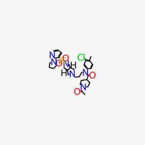 CC(=O)N1CCC(C(=O)N(CCCN2C[C@@H]3CN(S(=O)(=O)c4cccnc4N4CCCC4)C[C@@H]3C2)c2ccc(C)c(Cl)c2)CC1